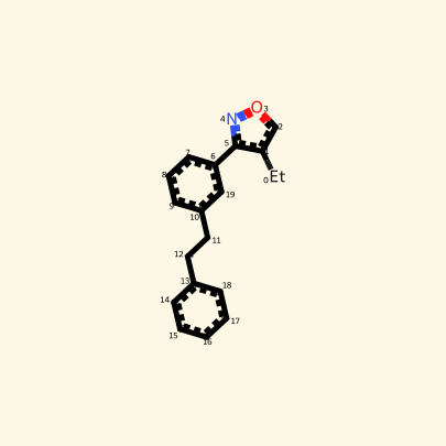 CCc1conc1-c1cccc(C[CH]c2ccccc2)c1